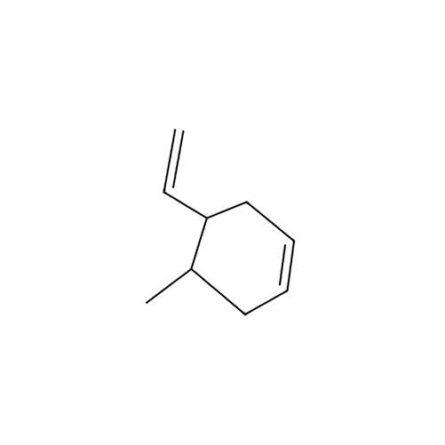 C=CC1CC=CCC1C